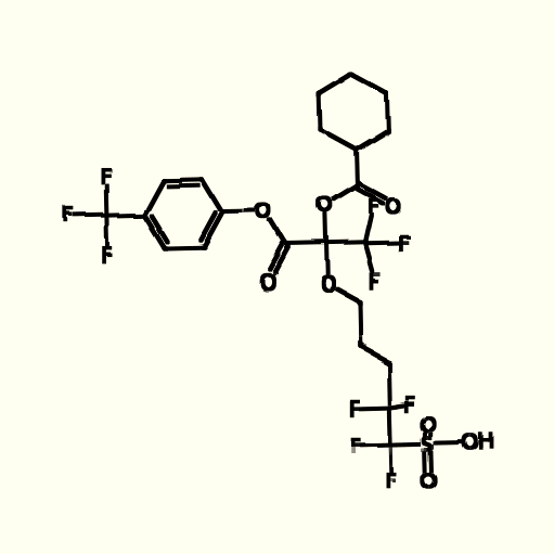 O=C(OC(OCCCC(F)(F)C(F)(F)S(=O)(=O)O)(C(=O)Oc1ccc(C(F)(F)F)cc1)C(F)(F)F)C1CCCCC1